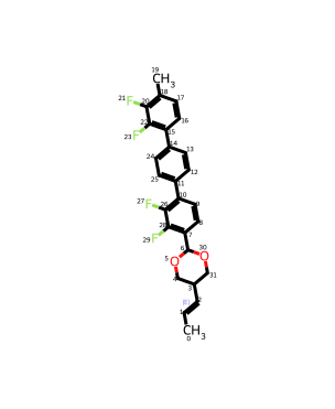 C/C=C/C1COC(c2ccc(-c3ccc(-c4ccc(C)c(F)c4F)cc3)c(F)c2F)OC1